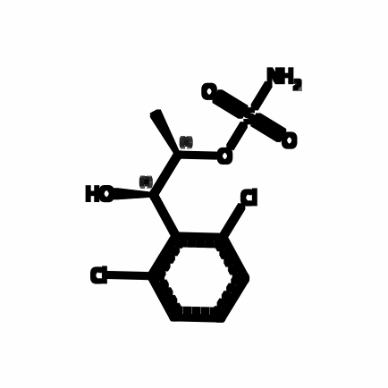 C[C@@H](OS(N)(=O)=O)[C@H](O)c1c(Cl)cccc1Cl